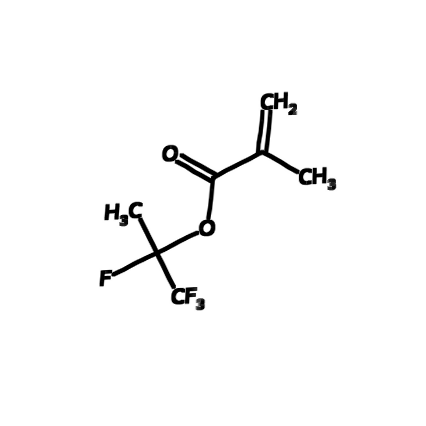 C=C(C)C(=O)OC(C)(F)C(F)(F)F